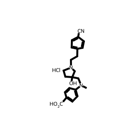 CN(CC1(O)CCN(CCc2ccc(C#N)cc2)C1)c1ccc(C(=O)O)cc1.Cl